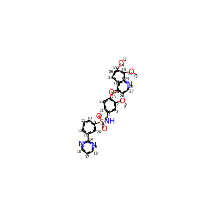 COc1cc(NS(=O)(=O)c2cccc(-c3ncccn3)c2)ccc1Oc1ccnc2c(OC)c(OC)ccc12